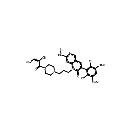 CCNc1ncc2cc(-c3c(Cl)c(OC)cc(OC)c3Cl)c(=O)n(CCCN3CCN(C(=O)/C(C#N)=C\C(C)(C)C)CC3)c2n1